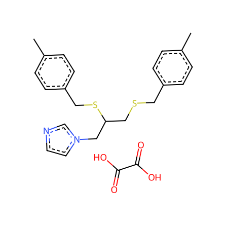 Cc1ccc(CSCC(Cn2ccnc2)SCc2ccc(C)cc2)cc1.O=C(O)C(=O)O